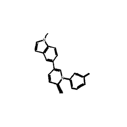 C=C1C=CC(c2ccc3c(ccn3C)c2)=CN1c1cccc(C)c1